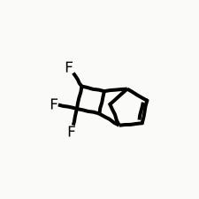 FC1C2C3C=CC(C3)C2C1(F)F